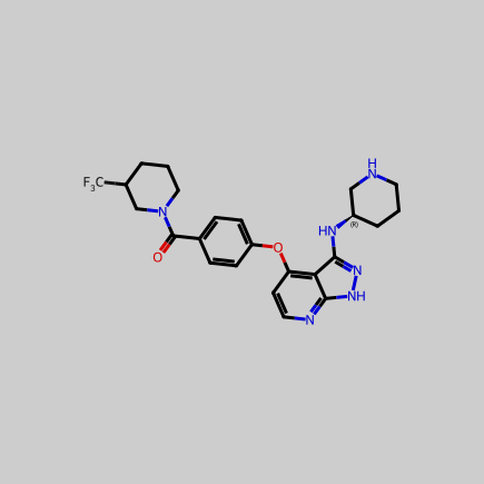 O=C(c1ccc(Oc2ccnc3[nH]nc(N[C@@H]4CCCNC4)c23)cc1)N1CCCC(C(F)(F)F)C1